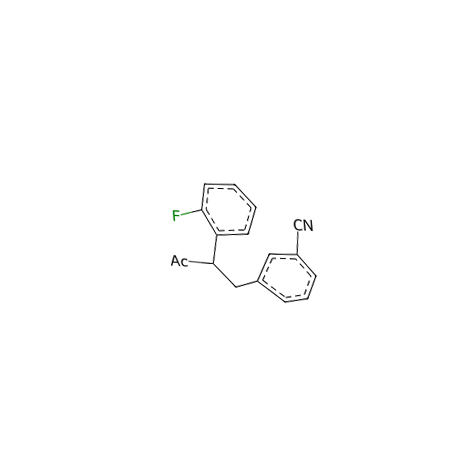 CC(=O)C(Cc1cccc(C#N)c1)c1ccccc1F